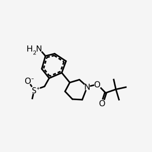 C[S+]([O-])Cc1cc(N)ccc1C1CCCN(OC(=O)C(C)(C)C)C1